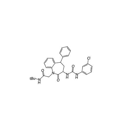 CC(C)(C)NC(=O)CN1C(=O)C(NC(=O)Nc2cccc(Cl)c2)CC(c2ccccc2)c2ccccc21